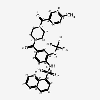 Cc1cnc(C(=O)N2CCN(C(=O)c3ccc(NS(=O)(=O)c4cccc5cccnc45)c(OC(F)(F)F)c3)CC2)cn1